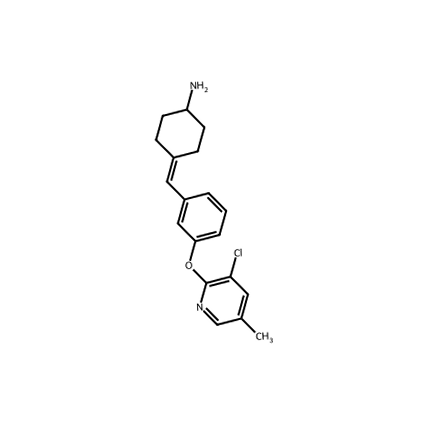 Cc1cnc(Oc2cccc(C=C3CCC(N)CC3)c2)c(Cl)c1